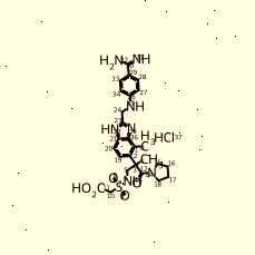 Cc1c(C(C)(CNS(=O)(=O)CC(=O)O)C(=O)N2CCCC2)ccc2[nH]c(CNc3ccc(C(=N)N)cc3)nc12.Cl